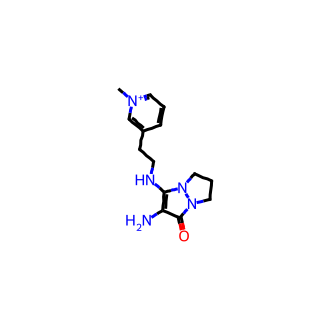 C[n+]1cccc(CCNc2c(N)c(=O)n3n2CCC3)c1